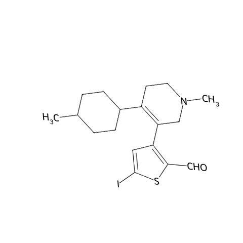 CC1CCC(C2=C(c3cc(I)sc3C=O)CN(C)CC2)CC1